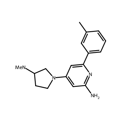 CNC1CCN(c2cc(N)nc(-c3cccc(C)c3)c2)C1